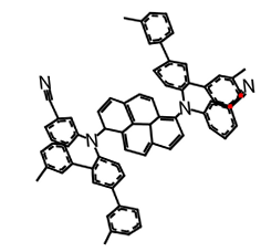 Cc1cccc(-c2ccc(N(C3=C4C=CC5=C6C(=CC=C(C=C3)C46)C(N(c3cccc(C#N)c3)c3ccc(-c4cccc(C)c4)cc3-c3cccc(C)c3)C=C5)c3cccc(C#N)c3)c(-c3cccc(C)c3)c2)c1